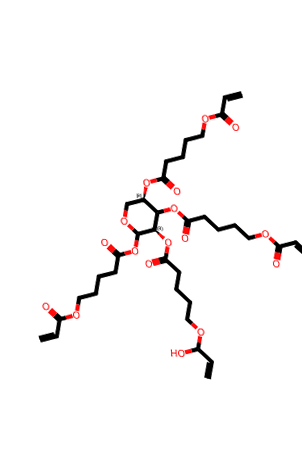 C=CC(=O)OCCCCC(=O)OC1OC[C@@H](OC(=O)CCCCOC(=O)C=C)C(OC(=O)CCCCOC(=O)C=C)[C@H]1OC(=O)CCCCOC(O)C=C